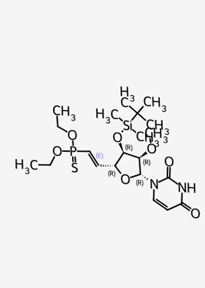 CCOP(=S)(/C=C/[C@H]1O[C@@H](n2ccc(=O)[nH]c2=O)[C@H](OC)[C@@H]1O[Si](C)(C)C(C)(C)C)OCC